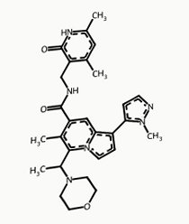 Cc1cc(C)c(CNC(=O)c2cc3c(-c4ccnn4C)ccn3c(C(C)N3CCOCC3)c2C)c(=O)[nH]1